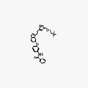 C[Si](C)(C)CCOCn1cnc(C=Cn2ncc3ccc(Oc4cccc(NC(=O)c5ccccc5)c4)cc32)c1